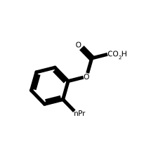 CCCc1ccccc1OC(=O)C(=O)O